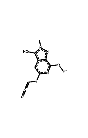 CC(C)Oc1nc(SC=C=O)nc2c(O)n(C)nc12